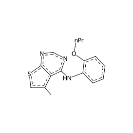 CCCOc1ccccc1Nc1ncnc2scc(C)c12